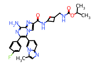 Cc1cnc2ccc(-c3c(-c4ccc(F)cc4)nc(N)c4nc(C(=O)NC56CC(CNC(=O)OC(C)C)(C5)C6)cn34)cn12